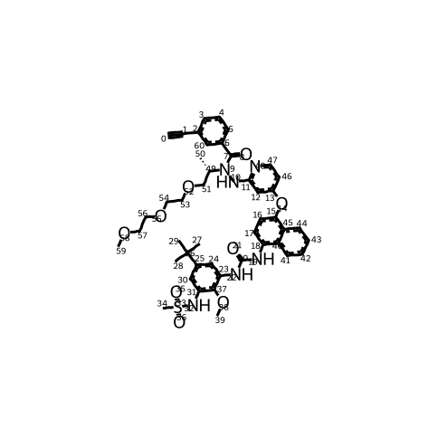 C#Cc1cccc(C(=O)N(Nc2cc(Oc3ccc(NC(=O)Nc4cc(C(C)(C)C)cc(NS(C)(=O)=O)c4OC)c4ccccc34)ccn2)[C@@H](C)COCCOCCOC)c1